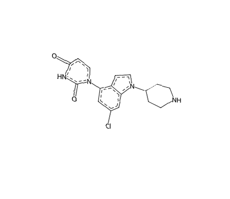 O=c1ccn(-c2cc(Cl)cc3c2ccn3C2CCNCC2)c(=O)[nH]1